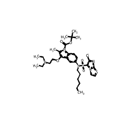 CCCCCCN(c1ccc2c(c1)c(OCCN(CC)CC)c(C)n2C(=O)OC(C)(C)C)S(=O)(=O)c1c(Cl)nc2sccn12